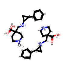 CN1CCC(CNC2CC2c2ccccc2)(C(=O)O)CC1.O=C(O)C1(CNC2CC2c2ccccc2)CCNCC1